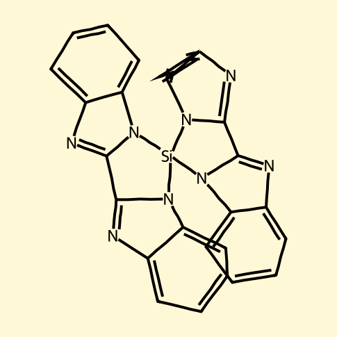 c1ccc2c(c1)nc1n2[Si]2(n3c-1nc1ccccc13)n1c(nc3ccccc31)-c1nc3ccccc3n12